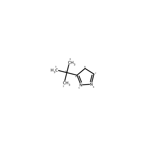 CC(C)(C)C1=NN=CC1